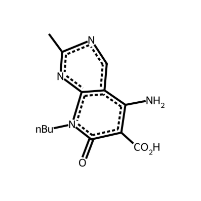 CCCCn1c(=O)c(C(=O)O)c(N)c2cnc(C)nc21